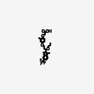 CCCOC(CCOc1ccc(OCC(=O)O)c(C)c1)c1sc2cc(C(F)(F)F)ccc2c1C